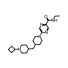 CCNC(=O)c1cnc(N2CCC(CC3CCN(C4CCC4)CC3)CC2)cn1